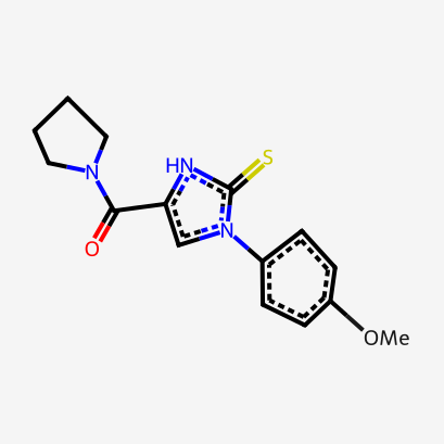 COc1ccc(-n2cc(C(=O)N3CCCC3)[nH]c2=S)cc1